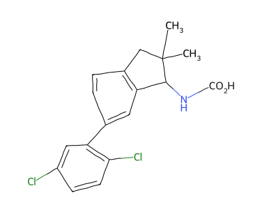 CC1(C)Cc2ccc(-c3cc(Cl)ccc3Cl)cc2C1NC(=O)O